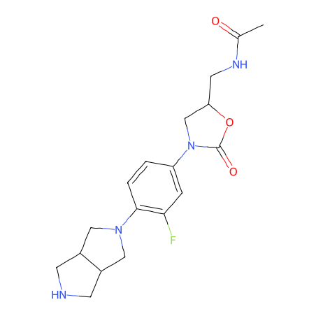 CC(=O)NCC1CN(c2ccc(N3CC4CNCC4C3)c(F)c2)C(=O)O1